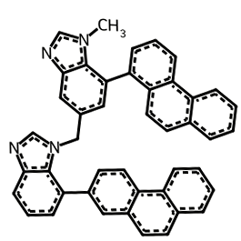 Cn1cnc2cc(Cn3cnc4cccc(-c5ccc6c(ccc7ccccc76)c5)c43)cc(-c3cccc4c3ccc3ccccc34)c21